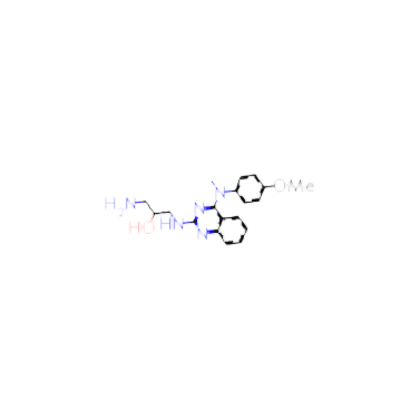 COc1ccc(N(C)c2nc(NCC(O)CN)nc3ccccc23)cc1